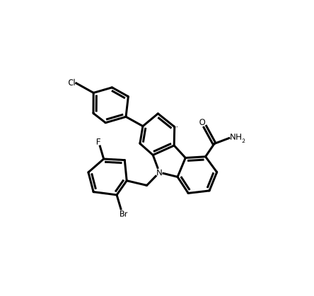 NC(=O)c1cccc2c1c1[c]cc(-c3ccc(Cl)cc3)cc1n2Cc1cc(F)ccc1Br